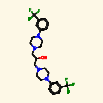 OC(CN1CCN(c2cccc(C(F)(F)F)c2)CC1)CN1CCN(c2cccc(C(F)(F)F)c2)CC1